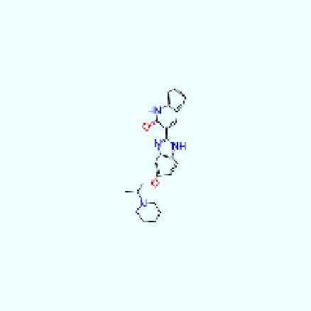 CC(COc1ccc2[nH]c(-c3cc4ccccc4[nH]c3=O)nc2c1)N1CCCCC1